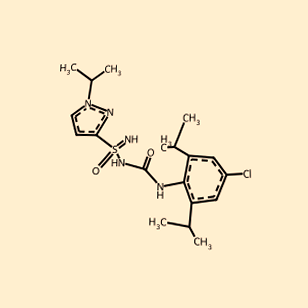 CC(C)c1cc(Cl)cc(C(C)C)c1NC(=O)NS(=N)(=O)c1ccn(C(C)C)n1